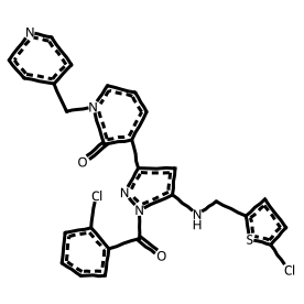 O=C(c1ccccc1Cl)n1nc(-c2cccn(Cc3ccncc3)c2=O)cc1NCc1ccc(Cl)s1